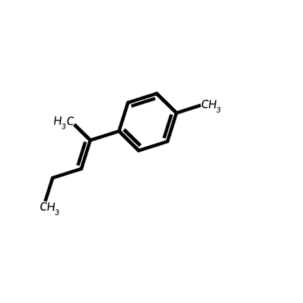 CCC=C(C)c1ccc(C)cc1